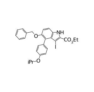 CCOC(=O)c1[nH]c2ccc(OCc3ccccc3)c(-c3ccc(OC(C)C)cc3)c2c1I